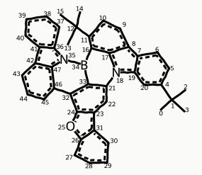 CC(C)(C)c1ccc2c3ccc(C(C)(C)C)c4c3n(c2c1)-c1cc2c(oc3ccccc32)c2c1B4n1c3ccccc3c3cccc-2c31